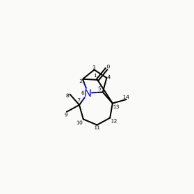 C=C1C2CCC3N2C(C)(C)CCCC13C